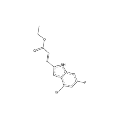 CCOC(=O)C=Cc1cc2c(Br)cc(F)cc2[nH]1